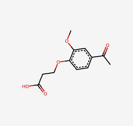 COc1cc(C(C)=O)ccc1OCCC(=O)O